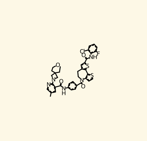 Cc1cnc(N2CC3(CCOCC3)C2)c(C(=O)Nc2ccc(C(=O)N3CCc4cc(C(=O)Nc5c(F)cccc5Cl)sc4-c4sccc43)cc2)c1